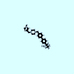 Cn1cnc(CN2CCN(Cc3ccc(-c4ccc(C(O)(F)C(F)(F)F)cc4)cc3)CC2)c1